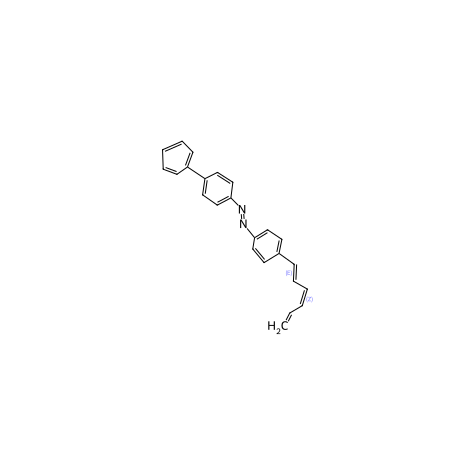 C=C/C=C\C=C\c1ccc(N=Nc2ccc(-c3ccccc3)cc2)cc1